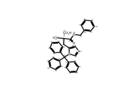 N[C@@](Cc1cncn1C(c1ccccc1)(c1ccccc1)c1ccccc1)(C(=O)O)C(=O)OCc1ccccc1